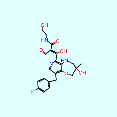 CC1(O)CNc2c(/C(O)=C(\C=O)C(=O)NCCO)ncc(Cc3ccc(F)cc3)c2OC1